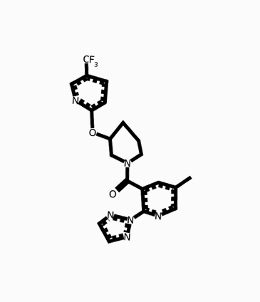 Cc1cnc(-n2nccn2)c(C(=O)N2CCCC(Oc3ccc(C(F)(F)F)cn3)C2)c1